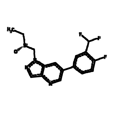 CC[S@@+]([O-])Cn1ncc2ncc(-c3ccc(F)c(C(F)F)c3)cc21